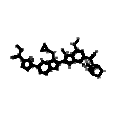 COC(=O)c1ccc(-c2ccc3cc(-c4nc5cc(C(=O)N6CC7CCC6C7N)cc(OC)c5n4C)n(CC4CC4)c3n2)[nH]1